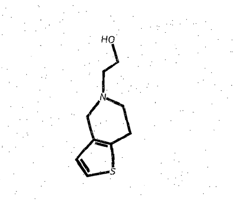 OCCN1CCc2sccc2C1